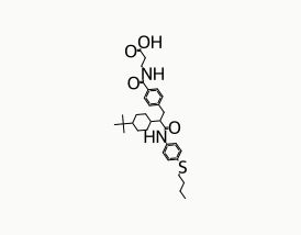 CCCCSc1ccc(NC(=O)C(Cc2ccc(C(=O)NCCC(=O)O)cc2)C2CCC(C(C)(C)C)CC2)cc1